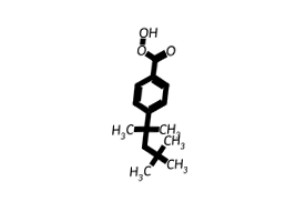 CC(C)(C)CC(C)(C)c1ccc(C(=O)OO)cc1